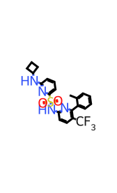 Cc1ccccc1-c1nc(NS(=O)(=O)c2cccc(NC3CCC3)n2)ccc1C(F)(F)F